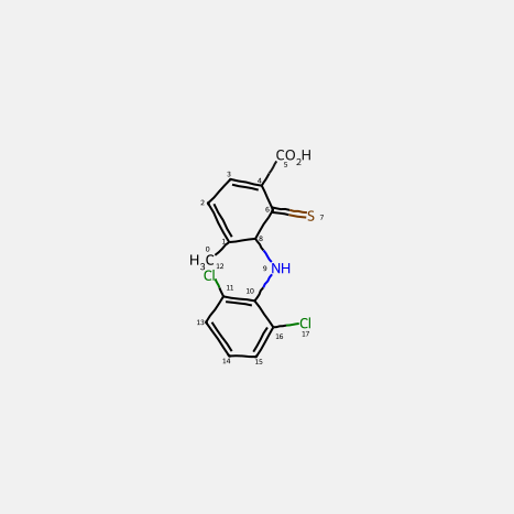 CC1=CC=C(C(=O)O)C(=S)C1Nc1c(Cl)cccc1Cl